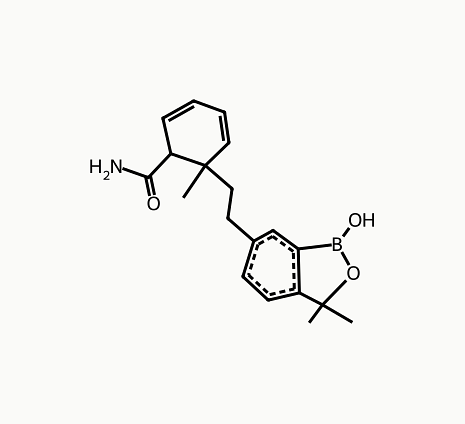 CC1(C)OB(O)c2cc(CCC3(C)C=CC=CC3C(N)=O)ccc21